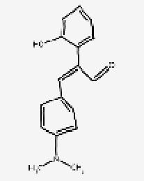 CN(C)c1ccc(C=C(C=O)c2ccccc2O)cc1